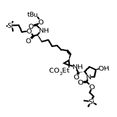 CCOC(=O)[C@@]1(NC(=O)[C@@H]2C[C@@H](O)CN2C(=O)OCC[Si](C)(C)C)C[C@H]1/C=C\CCCCC[C@H](NC(=O)OC(C)(C)C)C(=O)OCC[Si](C)(C)C